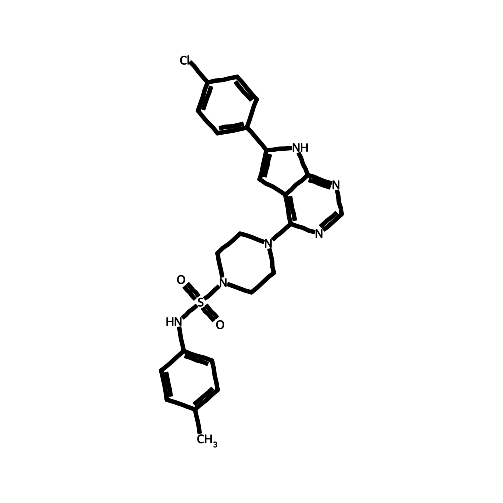 Cc1ccc(NS(=O)(=O)N2CCN(c3ncnc4[nH]c(-c5ccc(Cl)cc5)cc34)CC2)cc1